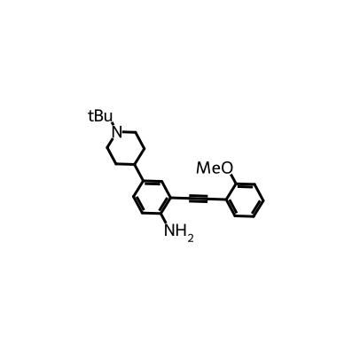 COc1ccccc1C#Cc1cc(C2CCN(C(C)(C)C)CC2)ccc1N